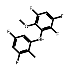 COc1c(F)cc(F)c(F)c1Bc1cc(F)cc(F)c1C